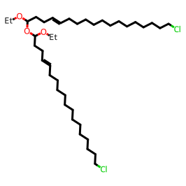 CCOC(CCC=CCCCCCCCCCCCCCCl)OC(CCC=CCCCCCCCCCCCCCCl)OCC